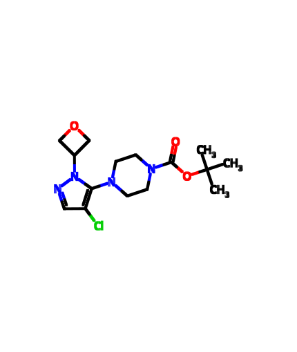 CC(C)(C)OC(=O)N1CCN(c2c(Cl)cnn2C2COC2)CC1